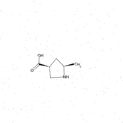 C[C@@H]1C[C@H](C(=O)O)CN1